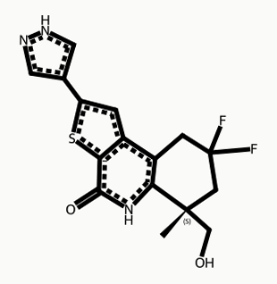 C[C@]1(CO)CC(F)(F)Cc2c1[nH]c(=O)c1sc(-c3cn[nH]c3)cc21